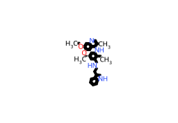 CCOc1cc2ncc(C)c(Nc3cccc(CNCCc4c[nH]c5ccccc45)c3CC)c2cc1OCC